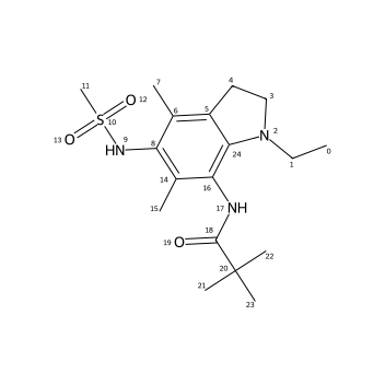 CCN1CCc2c(C)c(NS(C)(=O)=O)c(C)c(NC(=O)C(C)(C)C)c21